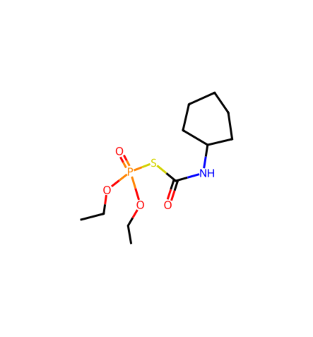 CCOP(=O)(OCC)SC(=O)NC1CCCCC1